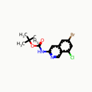 CC(C)(C)OC(=O)Nc1cc2cc(Br)cc(Cl)c2cn1